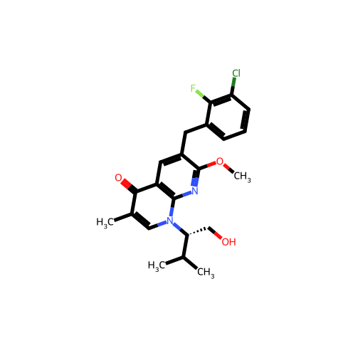 COc1nc2c(cc1Cc1cccc(Cl)c1F)c(=O)c(C)cn2[C@H](CO)C(C)C